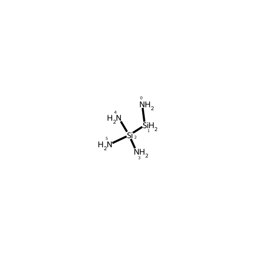 N[SiH2][Si](N)(N)N